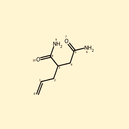 C=CCC(CC(N)=O)C(N)=O